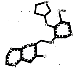 COc1cncc(NCc2cc3nccnc3cc2Cl)c1OC1CCNC1